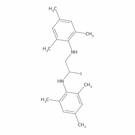 Cc1cc(C)c(NCC(I)Nc2c(C)cc(C)cc2C)c(C)c1